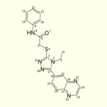 CCn1c(SCC(=O)Nc2ccccc2)nnc1-c1ccc2nccnc2c1